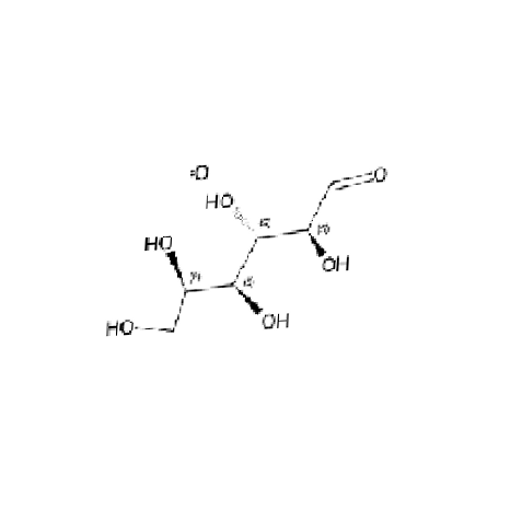 O=C[C@@H](O)[C@@H](O)[C@@H](O)[C@H](O)CO.[O]